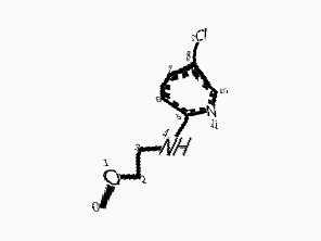 COCCNc1ccc(Cl)cn1